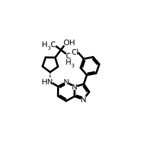 CC(C)(O)C1CC[C@@H](Nc2ccc3ncc(-c4cccc(Cl)c4)n3n2)C1